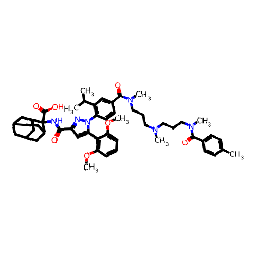 COc1cccc(OC)c1-c1cc(C(=O)NC2(C(=O)O)C3CC4CC(C3)CC2C4)nn1-c1ccc(C(=O)N(C)CCCN(C)CCCN(C)C(=O)c2ccc(C)cc2)cc1C(C)C